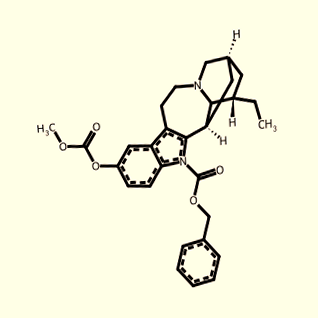 CC[C@H]1C[C@H]2C[C@H]3c4c(c5cc(OC(=O)OC)ccc5n4C(=O)OCc4ccccc4)CCN(C2)C13